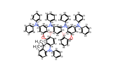 CC1(C)c2ccccc2N(c2ccccc2)c2ccc3c(c21)Oc1cc(N(c2ccccc2)c2ccccc2)cc2c1B3c1cc3c(cc1N2c1ccccc1)N(c1ccccc1)c1cc(N(c2ccccc2)c2ccccc2)cc2c1B3c1ccccc1O2